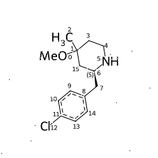 COC1(C)CCN[C@@H](Cc2ccc(Cl)cc2)C1